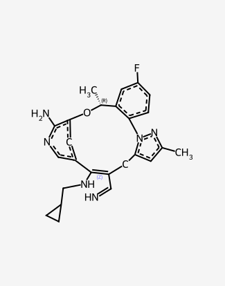 Cc1cc2n(n1)-c1ccc(F)cc1[C@@H](C)Oc1cc(cnc1N)/C(NCC1CC1)=C(/C=N)C2